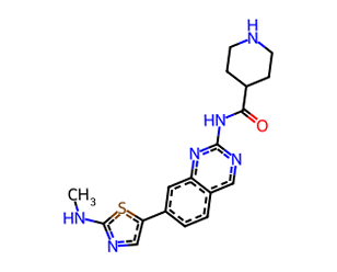 CNc1ncc(-c2ccc3cnc(NC(=O)C4CCNCC4)nc3c2)s1